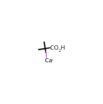 CC(C)(I)C(=O)O.[Ca]